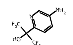 Nc1ccc(C(O)(C(F)(F)F)C(F)(F)F)nc1